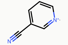 N#CC1=CC=C[N+]=C1